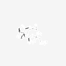 O=C(OC(CS(=O)(=O)O)(C(F)(F)F)C(F)(F)F)c1c2c3oc1c(OCC1CO1)c3OC2=O